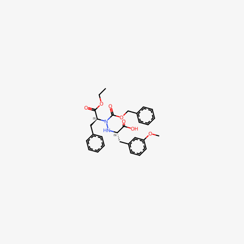 CCOC(=O)[C@H](Cc1ccccc1)N(N[C@@H](Cc1cccc(OC)c1)C(=O)O)C(=O)OCc1ccccc1